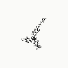 COCCOCCOC(=O)CN1CCC(c2nc(-c3ccc([S+](C)[O-])cc3)c(Sc3ccc(Cl)cn3)o2)CC1